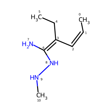 C/C=C\C(CC)=C(\N)NNC